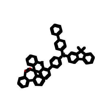 CC1(C)c2ccccc2-c2ccc(N(C3=CCC(c4ccccc4)C=C3)c3ccc(-c4cccc5c4Sc4ccccc4C54c5ccccc5-c5ccccc5-c5ccccc54)cc3)cc21